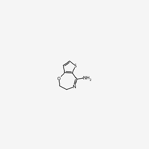 NC1=NCCOc2ccsc21